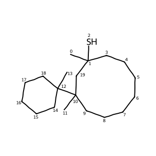 CC1(S)CCCCCCCC(C)(C2(C)CCCCC2)C1